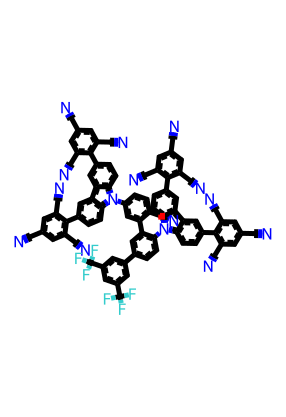 N#Cc1cc(C#N)c(-c2ccc3c(c2)c2cc(-c4c(C#N)cc(C#N)cc4C#N)ccc2n3-c2ccc(C#N)c(-c3cc(-c4cc(C(F)(F)F)cc(C(F)(F)F)c4)ccc3-n3c4ccc(-c5c(C#N)cc(C#N)cc5C#N)cc4c4cc(-c5c(C#N)cc(C#N)cc5C#N)ccc43)c2)c(C#N)c1